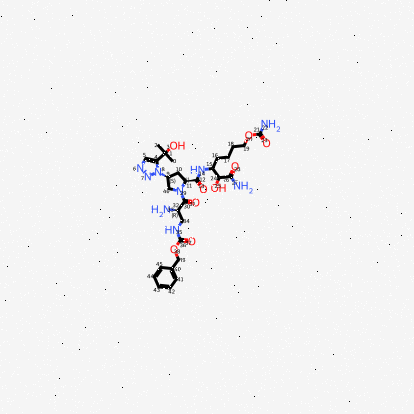 CC(C)(O)c1cnnn1[C@H]1C[C@@H](C(=O)NC(CCCCOC(N)=O)C(O)C(N)=O)N(C(=O)[C@H](N)CNC(=O)OCc2ccccc2)C1